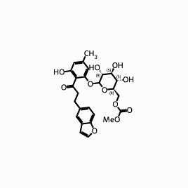 COC(=O)OC[C@H]1OC(Oc2cc(C)cc(O)c2C(=O)CCc2ccc3occc3c2)[C@H](O)[C@@H](O)[C@@H]1O